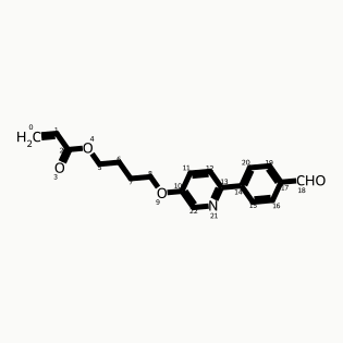 C=CC(=O)OCCCCOc1ccc(-c2ccc(C=O)cc2)nc1